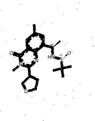 Cc1cc([C@@H](C)N[S@+]([O-])C(C)(C)C)c2nc(C3CCOC3)n(C)c(=O)c2c1